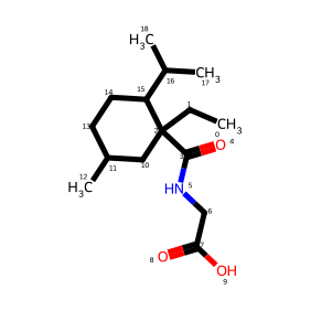 CCC1(C(=O)NCC(=O)O)CC(C)CCC1C(C)C